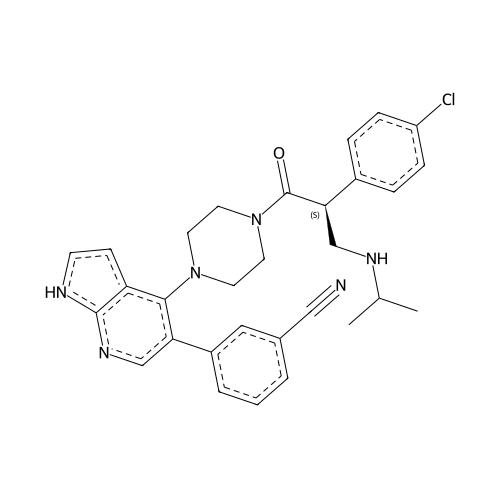 CC(C)NC[C@@H](C(=O)N1CCN(c2c(-c3cccc(C#N)c3)cnc3[nH]ccc23)CC1)c1ccc(Cl)cc1